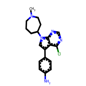 CN1CCCC(n2cc(-c3ccc(N)cc3)c3c(Cl)ncnc32)CC1